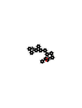 O=P1(c2ccccc2)c2ccccc2-c2ccccc2-c2cc(-c3cccc(-c4ccc5c6ccc(N7c8ccccc8-c8ccccc8S7(=O)=O)cc6c6ccccc6c5c4)c3)ccc2N1c1ccc(-c2ccccc2)cc1